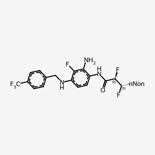 CCCCCCCCC[C@H](F)[C@H](F)C(=O)Nc1ccc(NCc2ccc(C(F)(F)F)cc2)c(F)c1N